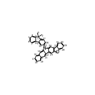 CC1(C)c2ccccc2-c2cc(-n3c4cc5ccccc5cc4c4cc5oc6ccccc6c5cc43)ccc21